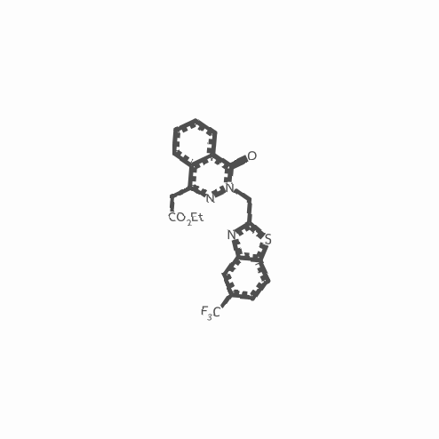 CCOC(=O)Cc1nn(Cc2nc3cc(C(F)(F)F)ccc3s2)c(=O)c2ccccc12